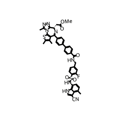 COC(=O)C[C@@H]1N=C(c2ccc(-c3ccc(C(=O)NCc4ccc(S(=O)(=O)Nc5ccc(C)c6c(C#N)c[nH]c56)c(F)c4)cc3)cc2)c2c(sc(C)c2C)-n2c(C)nnc21